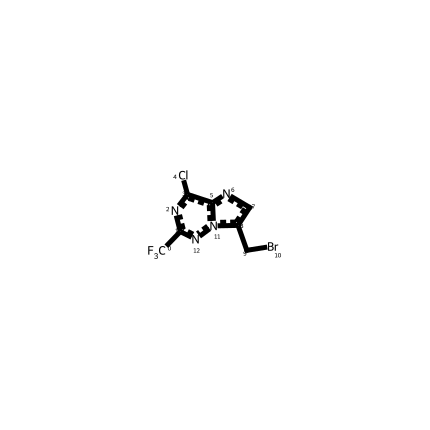 FC(F)(F)c1nc(Cl)c2ncc(CBr)n2n1